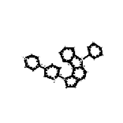 c1ccc(-n2c3ccccc3c3c4c(ccc32)ccn4-c2ccc(-c3ccncc3)cn2)cc1